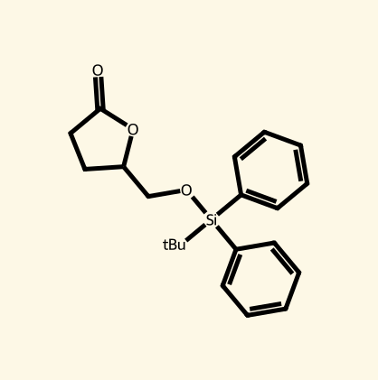 CC(C)(C)[Si](OCC1CCC(=O)O1)(c1ccccc1)c1ccccc1